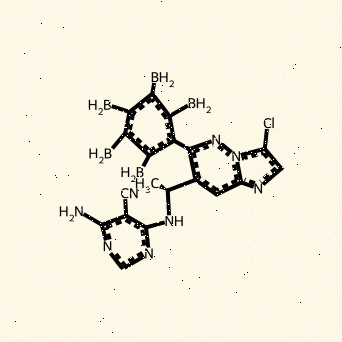 Bc1c(B)c(B)c(-c2nn3c(Cl)cnc3cc2[C@H](C)Nc2ncnc(N)c2C#N)c(B)c1B